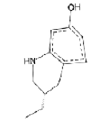 CC[C@@H]1CNc2cc(O)ccc2C1